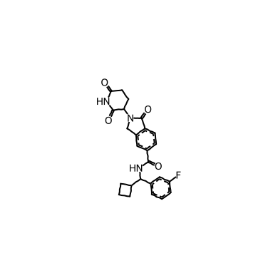 O=C1CCC(N2Cc3cc(C(=O)NC(c4cccc(F)c4)C4CCC4)ccc3C2=O)C(=O)N1